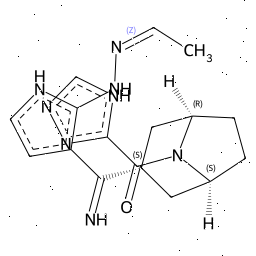 C/C=N\Nc1[nH]ccc1C(=N)[C@@H]1C[C@H]2CC[C@@H](C1)N2C(=O)c1nnc[nH]1